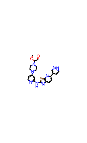 COC(C=O)N1CCN(c2ccnc(Nc3nc4ccc(-c5ccnnc5)nc4s3)c2)CC1